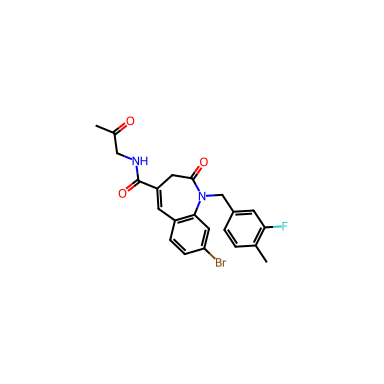 CC(=O)CNC(=O)C1=Cc2ccc(Br)cc2N(Cc2ccc(C)c(F)c2)C(=O)C1